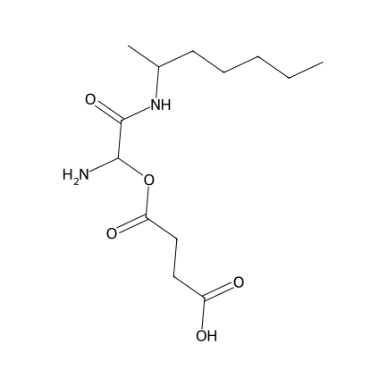 CCCCCC(C)NC(=O)C(N)OC(=O)CCC(=O)O